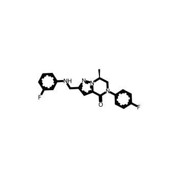 C[C@H]1CN(c2ccc(F)cc2)C(=O)c2cc(CNc3cccc(F)c3)nn21